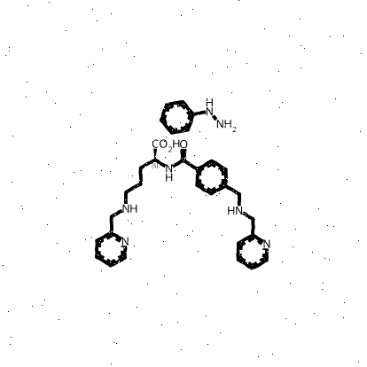 NNc1ccccc1.O=C(N[C@@H](CCCNCc1ccccn1)C(=O)O)c1ccc(CNCc2ccccn2)cc1